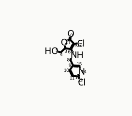 O=C1OC(CO)C(NCc2ccc(Cl)nc2)=C1Cl